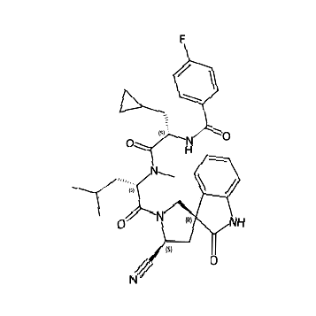 CC(C)C[C@@H](C(=O)N1C[C@]2(C[C@H]1C#N)C(=O)Nc1ccccc12)N(C)C(=O)[C@H](CC1CC1)NC(=O)c1ccc(F)cc1